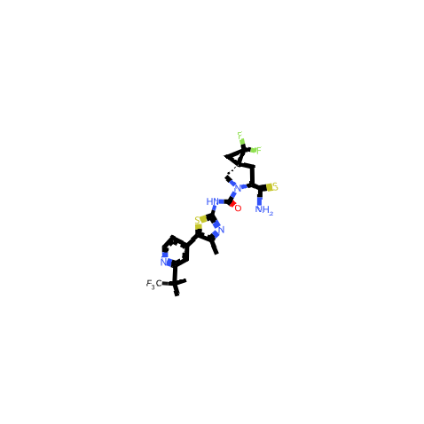 Cc1nc(NC(=O)N2C[C@]3(CC2C(N)=S)CC3(F)F)sc1-c1ccnc(C(C)(C)C(F)(F)F)c1